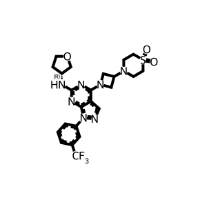 O=S1(=O)CCN(C2CN(c3nc(N[C@@H]4CCOC4)nc4c3cnn4-c3cccc(C(F)(F)F)c3)C2)CC1